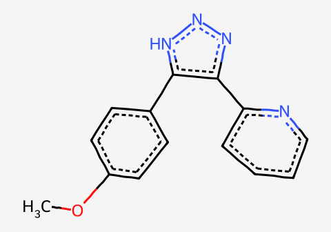 COc1ccc(-c2[nH]nnc2-c2ccccn2)cc1